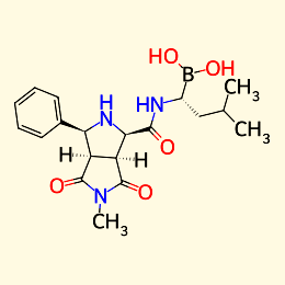 CC(C)C[C@H](NC(=O)[C@@H]1N[C@H](c2ccccc2)[C@@H]2C(=O)N(C)C(=O)[C@@H]21)B(O)O